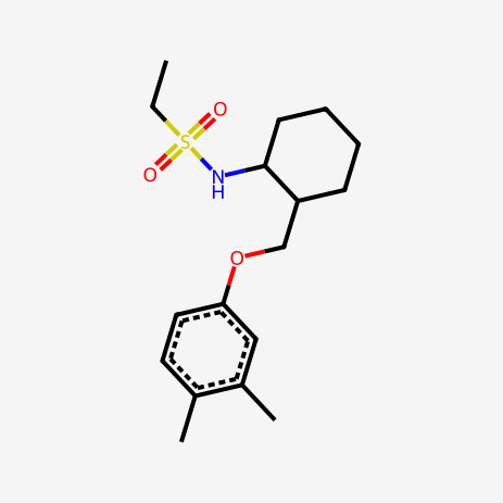 CCS(=O)(=O)NC1CCCCC1COc1ccc(C)c(C)c1